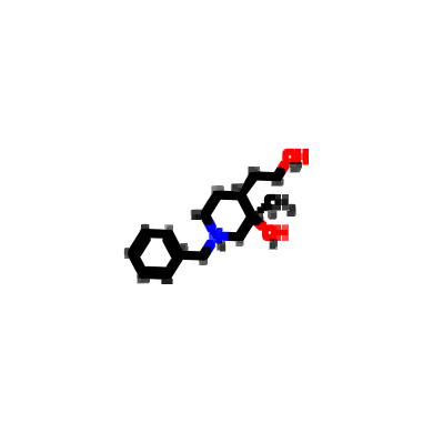 C[C@]1(O)CN(Cc2ccccc2)CC[C@H]1CCO